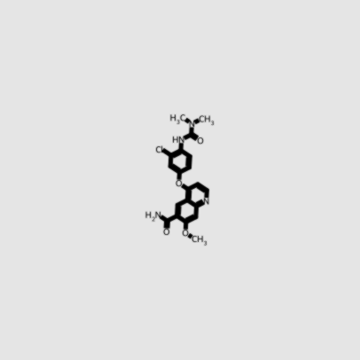 COc1cc2nccc(Oc3ccc(NC(=O)N(C)C)c(Cl)c3)c2cc1C(N)=O